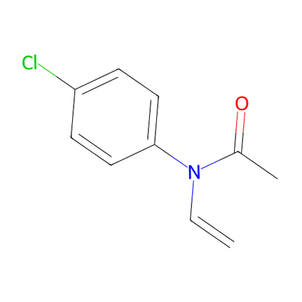 C=CN(C(C)=O)c1ccc(Cl)cc1